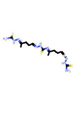 C/C(CC/C=N/NC(=S)/N=C(\C)CCC=C=NNC(N)=S)=N\NC(N)=S